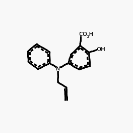 C=CCN(c1ccccc1)c1ccc(O)c(C(=O)O)c1